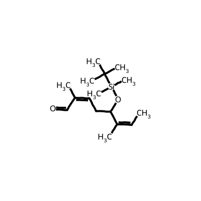 CC=C(C)C(CC=C(C)C=O)O[Si](C)(C)C(C)(C)C